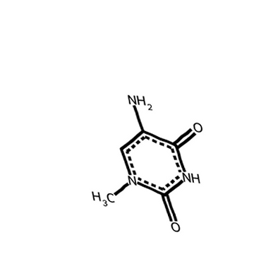 Cn1cc(N)c(=O)[nH]c1=O